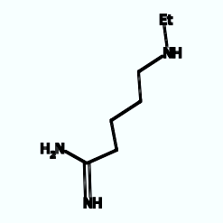 CCNCCCCC(=N)N